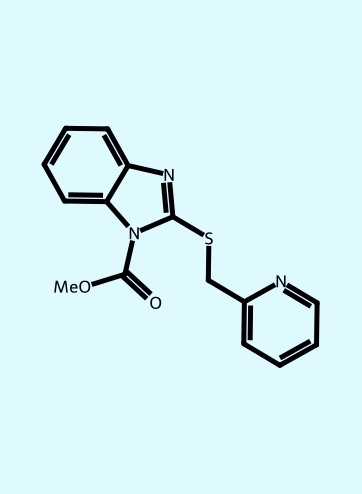 COC(=O)n1c(SCc2ccccn2)nc2ccccc21